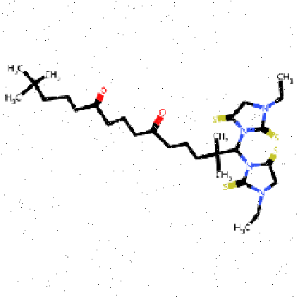 CCN1CC(=S)N(C(N2C(=S)CN(CC)C2=S)C(C)(C)CCCC(=O)CCCC(=O)CCCC(C)(C)C)C1=S